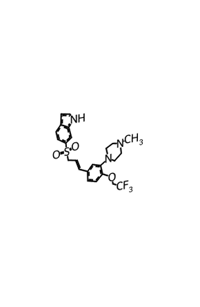 CN1CCN(c2cc(C=CCS(=O)(=O)c3ccc4cc[nH]c4c3)ccc2OCC(F)(F)F)CC1